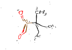 CC(=O)C(C)(C)[SH](=O)=O